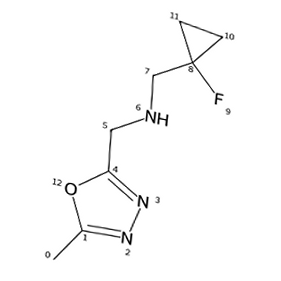 Cc1nnc(CNCC2(F)CC2)o1